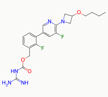 CCCCOC1CN(c2ncc(-c3cccc(COC(=O)NC(=N)N)c3F)cc2F)C1